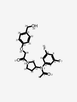 CC(=O)N(c1cc(F)cc(F)c1)C1CCN(C(=O)COc2ccc(CO)cc2)C1